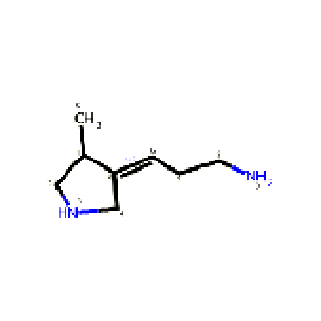 CC1CNC/C1=C\CCN